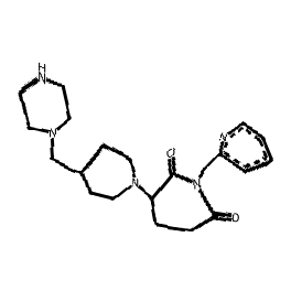 O=C1CCC(N2CCC(CN3CCNCC3)CC2)C(=O)N1c1ccccn1